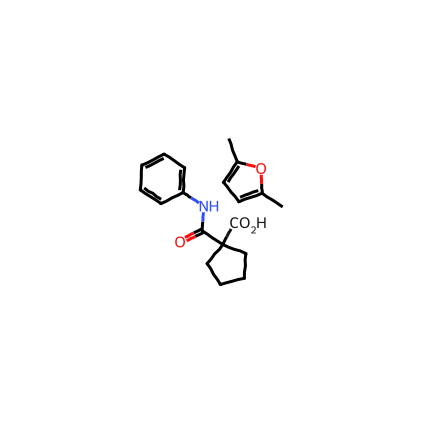 Cc1ccc(C)o1.O=C(O)C1(C(=O)Nc2ccccc2)CCCC1